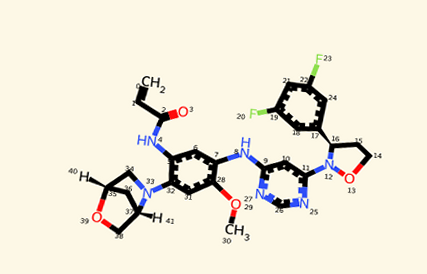 C=CC(=O)Nc1cc(Nc2cc(N3OCC[C@@H]3c3cc(F)cc(F)c3)ncn2)c(OC)cc1N1C[C@@H]2C[C@H]1CO2